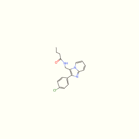 CCCC(=O)NCc1c(-c2ccc(Cl)cc2)nc2ccccn12